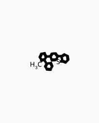 Cc1cccc(-c2ccc3c(c2)sc2ccccc23)c1-c1ccccc1